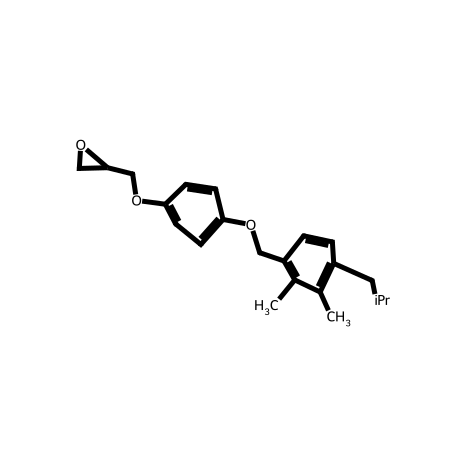 Cc1c(COc2ccc(OCC3CO3)cc2)ccc(CC(C)C)c1C